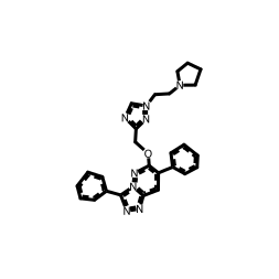 c1ccc(-c2cc3nnc(-c4ccccc4)n3nc2OCc2ncn(CCN3CCCC3)n2)cc1